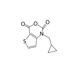 O=c1oc(=O)n(CC2CC2)c2ccsc12